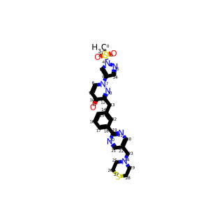 CS(=O)(=O)n1cc(-n2ccc(=O)c(Cc3cccc(-c4ncc(CN5CCSCC5)cn4)c3)n2)cn1